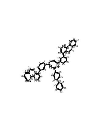 C1=CC(c2cccc(-c3ccnc4c3ccc3cccnc34)c2)=NC(c2ccc(-c3ccccc3)cc2)=NC=1c1cccc(-c2ccnc3c2ccc2cccnc23)c1